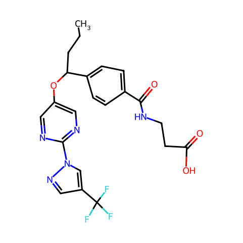 CCCC(Oc1cnc(-n2cc(C(F)(F)F)cn2)nc1)c1ccc(C(=O)NCCC(=O)O)cc1